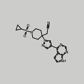 N#CCC1(n2cc(-c3ncnc4[nH]ccc34)cn2)CCN(S(=O)(=O)C2CC2)CC1